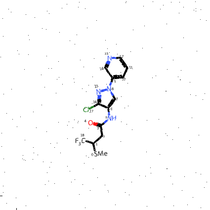 CSC(CC(=O)Nc1cn(-c2cccnc2)nc1Cl)C(F)(F)F